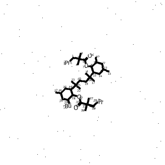 CC(C)CC(C)(C)C(=O)OC1C(C)CC(C)CC1C(C)(C)CCC(C)(C)C1CC(C)CC(C(C)(C)C)C1OC(=O)C(C)(C)CC(C)C